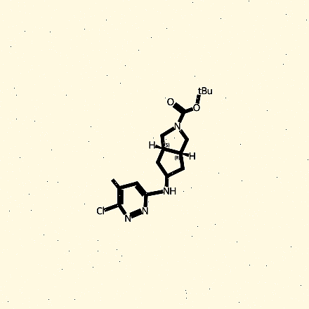 Cc1cc(NC2C[C@@H]3CN(C(=O)OC(C)(C)C)C[C@@H]3C2)nnc1Cl